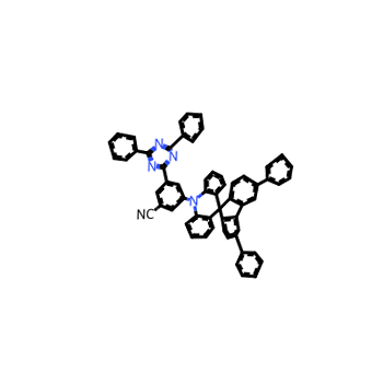 N#Cc1cc(-c2nc(-c3ccccc3)nc(-c3ccccc3)n2)cc(N2c3ccccc3C3(c4ccc(-c5ccccc5)cc4-c4cc(-c5ccccc5)ccc43)c3ccccc32)c1